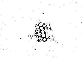 CN(C)C.CN(C)c1ccc(O)c2c1C[C@H]1C[C@@H]3[C@H](N(C)C)C(O)=C(C(N)=O)C(=O)[C@@]3(O)C(O)=C1C2=O